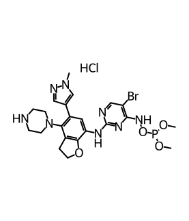 COP(OC)ONc1nc(Nc2cc(-c3cnn(C)c3)c(N3CCNCC3)c3c2OCC3)ncc1Br.Cl